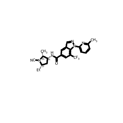 CC[C@H]1C[C@@H](NC(=O)c2cc(C(F)(F)F)c3c(cnn3-c3cccc(C)n3)c2)[C@@H](C)N1C#N